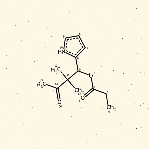 CCC(=O)OC(c1ccc[nH]1)C(C)(C)C(C)=O